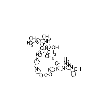 Cc1ncsc1-c1ccc([C@H](C)NC(=O)[C@@H]2C[C@@H](O)CN2C(=O)[C@@H](c2cc(N3CCC(CN4CCC(O[C@H]5C[C@H](Oc6cc(N7CCN(c8cc(-c9ccccc9O)nnc8N)CC78COC8)ccn6)C5)CC4)CC3)no2)C(C)C)cc1